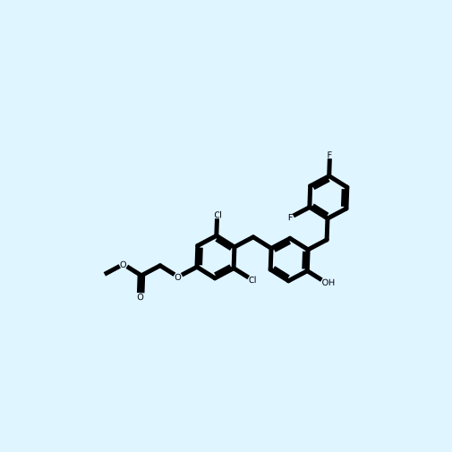 COC(=O)COc1cc(Cl)c(Cc2ccc(O)c(Cc3ccc(F)cc3F)c2)c(Cl)c1